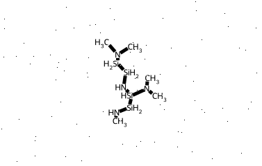 CN[SiH2][SiH](N[SiH2][SiH2]N(C)C)N(C)C